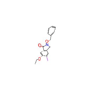 CCOc1cc2c(cc1I)CN(OCc1ccccc1)C2=O